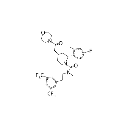 Cc1cc(F)ccc1[C@H]1C[C@H](CC(=O)N2CCOCC2)CCN1C(=O)N(C)CCc1cc(C(F)(F)F)cc(C(F)(F)F)c1